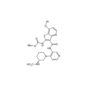 CC(C)Oc1ccnc2c(C(=O)Nc3cnccc3N3CCC[C@H](NC(=O)O)C3)c(NC(=O)OC(C)(C)C)sc12